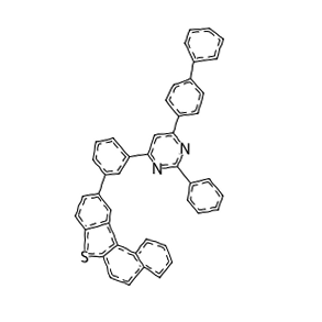 c1ccc(-c2ccc(-c3cc(-c4cccc(-c5ccc6sc7ccc8ccccc8c7c6c5)c4)nc(-c4ccccc4)n3)cc2)cc1